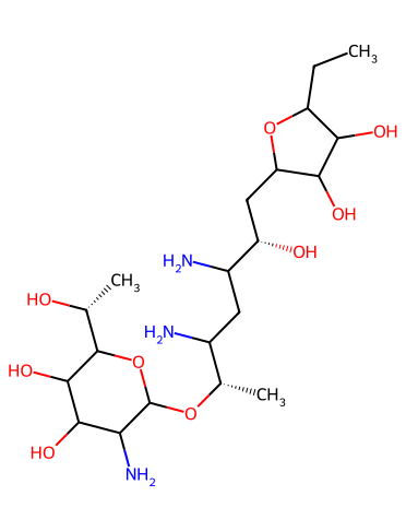 CCC1OC(C[C@H](O)C(N)CC(N)[C@H](C)OC2OC([C@@H](C)O)C(O)C(O)C2N)C(O)C1O